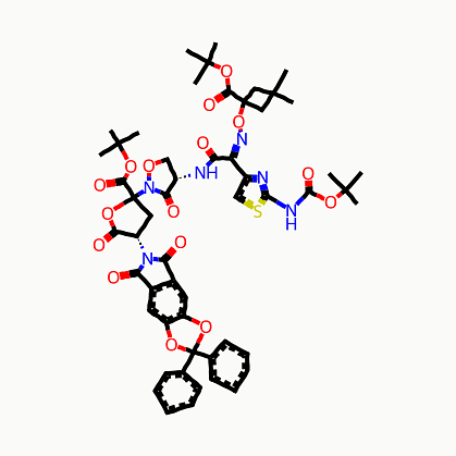 CC1(C)CC(O/N=C(\C(=O)N[C@H]2CON(C3(C(=O)OC(C)(C)C)C[C@H](N4C(=O)c5cc6c(cc5C4=O)OC(c4ccccc4)(c4ccccc4)O6)C(=O)O3)C2=O)c2csc(NC(=O)OC(C)(C)C)n2)(C(=O)OC(C)(C)C)C1